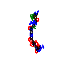 CC1(C)C(=O)[SH](c2ccc(C#N)c(C(F)(F)F)c2)NN1c1ccc(C(=O)N2CCC3(CCC(N4CCC5(CC4)COc4cc6c(cc4C5)C(=O)N(C4CCC(=O)NC4=O)C6=O)CC3)C2)c(F)c1